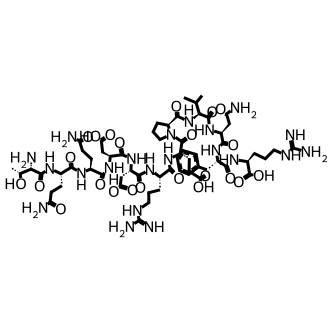 CC(C)[C@H](NC(=O)[C@@H]1CCCN1C(=O)[C@H](CCC(=O)O)NC(=O)[C@H](CCCNC(=N)N)NC(=O)[C@H](CC(=O)O)NC(=O)[C@H](CC(=O)O)NC(=O)[C@H](CCC(N)=O)NC(=O)[C@H](CCC(N)=O)NC(=O)[C@@H](N)[C@@H](C)O)C(=O)N[C@@H](CC(N)=O)C(=O)N[C@@H](Cc1ccccc1)C(=O)N[C@@H](CCCNC(=N)N)C(=O)O